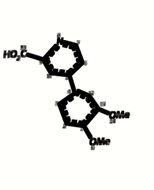 COc1ccc(-c2ccnc(C(=O)O)c2)cc1OC